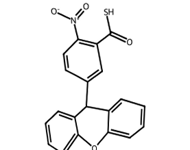 O=C(S)c1cc(C2c3ccccc3Oc3ccccc32)ccc1[N+](=O)[O-]